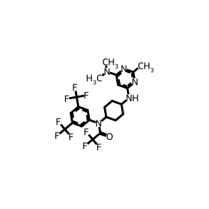 Cc1nc(NC2CCC(N(C(=O)C(F)(F)F)c3cc(C(F)(F)F)cc(C(F)(F)F)c3)CC2)cc(N(C)C)n1